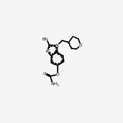 CC(C)(C)c1nc2cc(OC(N)=O)ccc2n1CC1CCOCC1